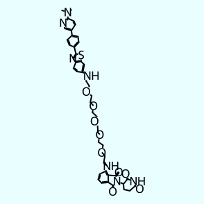 CN(C)c1ccc(-c2ccc(-c3nc4ccc(NCCOCCOCCOCCOCCOCCNc5cccc6c5C(=O)N(C5CCC(=O)NC5=O)C6=O)cc4s3)cc2)cn1